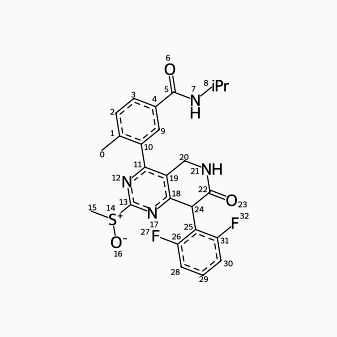 Cc1ccc(C(=O)NC(C)C)cc1-c1nc([S+](C)[O-])nc2c1CNC(=O)C2c1c(F)cccc1F